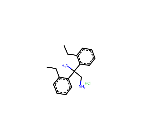 CCc1ccccc1C(N)(CN)c1ccccc1CC.Cl